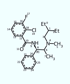 CCC(CC)CN(C)C(C)[C@H](NC(=O)c1cccc(F)c1Cl)c1ccccc1